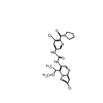 COC(C)c1c(NC(=O)Nc2cnc(C(=O)N3CCCC3)c(Cl)c2)cnc2cc(Cl)nn12